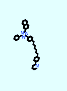 c1ccc(-c2nc(-c3ccc(CCCCCCCc4ccc(-c5ccccn5)cc4)cc3)nc(-c3ccc4ccccc4c3)n2)cc1